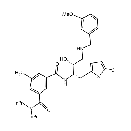 CCCN(CCC)C(=O)c1cc(C)cc(C(=O)N[C@@H](Cc2ccc(Cl)s2)[C@H](O)CNCc2cccc(OC)c2)c1